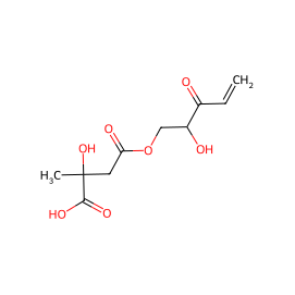 C=CC(=O)C(O)COC(=O)CC(C)(O)C(=O)O